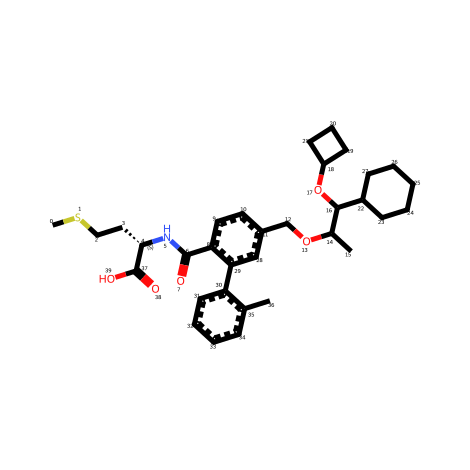 CSCC[C@H](NC(=O)c1ccc(COC(C)C(OC2CCC2)C2CCCCC2)cc1-c1ccccc1C)C(=O)O